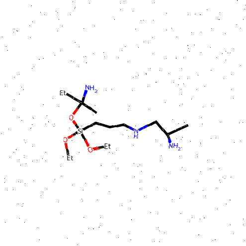 CCO[Si](CCCNCC(C)N)(OCC)OC(C)(N)CC